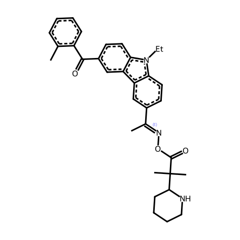 CCn1c2ccc(C(=O)c3ccccc3C)cc2c2cc(/C(C)=N/OC(=O)C(C)(C)C3CCCCN3)ccc21